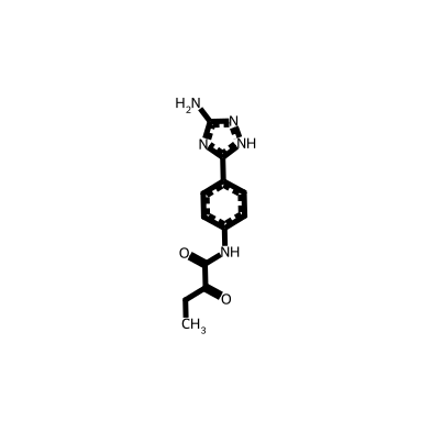 CCC(=O)C(=O)Nc1ccc(-c2nc(N)n[nH]2)cc1